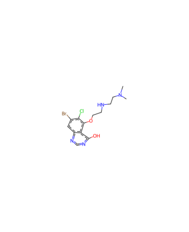 CN(C)CCNCCOc1c(Cl)c(Br)cc2ncnc(O)c12